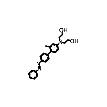 Cc1cc(N(CCO)CCO)ccc1-c1ccc(/N=N/c2ccccc2)cc1